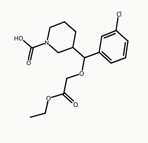 CCOC(=O)COC(c1cccc(Cl)c1)C1CCCN(C(=O)O)C1